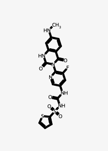 CNc1ccc2c(=O)n(-c3ncc(NC(=O)NS(=O)(=O)c4cccs4)cc3F)c(=O)[nH]c2c1